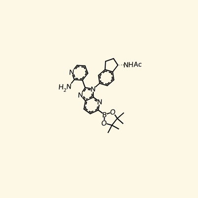 CC(=O)N[C@H]1CCc2cc(-n3c(-c4cccnc4N)nc4ccc(B5OC(C)(C)C(C)(C)O5)nc43)ccc21